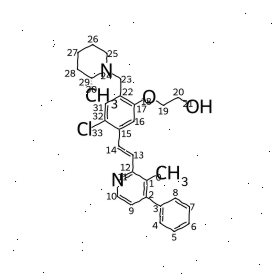 Cc1c(-c2ccccc2)ccnc1/C=C/c1cc(OCCO)c(CN2CCCC[C@H]2C)cc1Cl